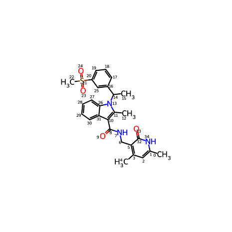 Cc1cc(C)c(CNC(=O)c2c(C)n(C(C)c3cccc(S(C)(=O)=O)c3)c3ccccc23)c(=O)[nH]1